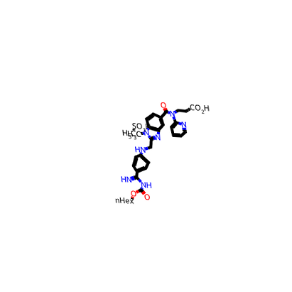 CCCCCCOC(=O)NC(=N)c1ccc(NCc2nc3cc(C(=O)N(CCC(=O)O)c4ccccn4)ccc3n2C)cc1.CS(=O)(=O)O